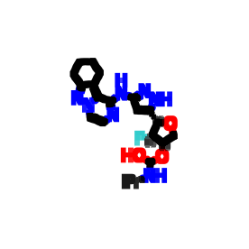 CC(C)NC(O)O[C@H]1CO[C@@H](c2cc(Nc3nccn4nc5c(c34)CCCC5)n[nH]2)[C@H]1F